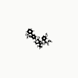 COc1ccc(-n2nc(C(F)(F)F)c3c2C(=O)N(c2ccc(-c4ccccc4S(C)(=O)=O)cc2)CC3)c(C(=O)N(C)OC)c1